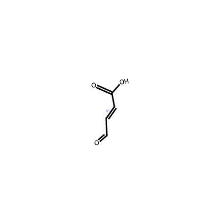 O=C/C=C/C(=O)O